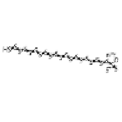 CCCOS(=S)(=S)SSSSSSSSSSSSSSSSSSSS